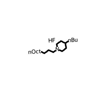 CCCCCCCCCCCN1CCC(CCCC)CC1.F